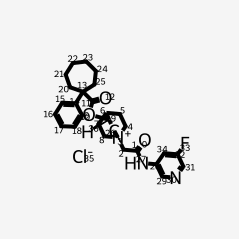 O=C(C[N+]12CCC(CC1)[C@@H](OC(=O)C1(c3ccccc3)CCCCCC1)C2)Nc1cncc(F)c1.[Cl-]